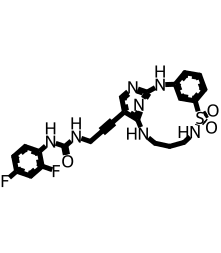 O=C(NCC#Cc1cnc2nc1NCCCNS(=O)(=O)c1cccc(c1)N2)Nc1ccc(F)cc1F